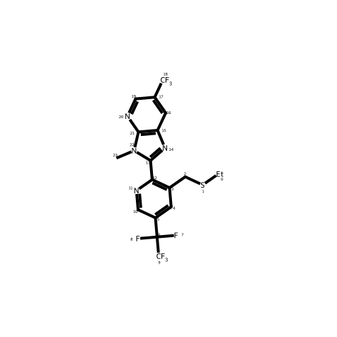 CCSCc1cc(C(F)(F)C(F)(F)F)cnc1-c1nc2cc(C(F)(F)F)cnc2n1C